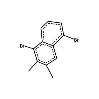 Cc1cc2c(Br)cccc2c(Br)c1C